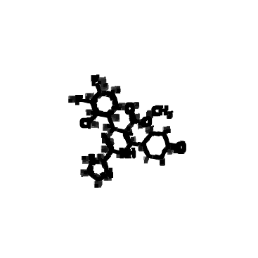 COC(=O)C1=C(C2CCC(=O)CC2)NC(c2nccs2)=NC1c1ccc(F)c(F)c1Cl